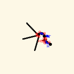 CCCCCCCCCCCCCCCCCCOc1cc(C(=O)N2CCN(C(=O)c3ccc(C(=O)O[C@H]4[C@@H](OC)[C@H](n5ccc(NC(=O)c6ccccc6)nc5=O)O[C@@H]4CO)c(CN=[N+]=[N-])c3)CC2)cc(OCCCCCCCCCCCCCCCCCC)c1OCCCCCCCCCCCCCCCCCC